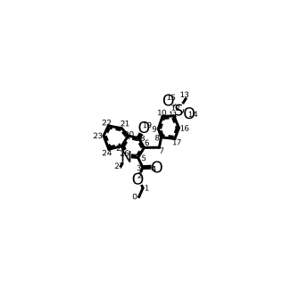 CCOC(=O)c1c(Cc2ccc(S(C)(=O)=O)cc2)c(=O)c2ccccc2n1C